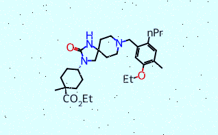 CCCc1cc(C)c(OCC)cc1CN1CCC2(CC1)CN([C@H]1CC[C@](C)(C(=O)OCC)CC1)C(=O)N2